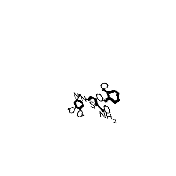 COc1cc2ncn(-c3cc(OCc4ccccc4C=O)c(C(N)=O)s3)c2cc1OC